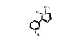 Cc1cccc(-c2cccc(C)[n+]2[O-])n1